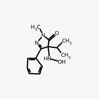 CC(C)C1(NO)C(=O)N(C)N=C1c1ccccc1